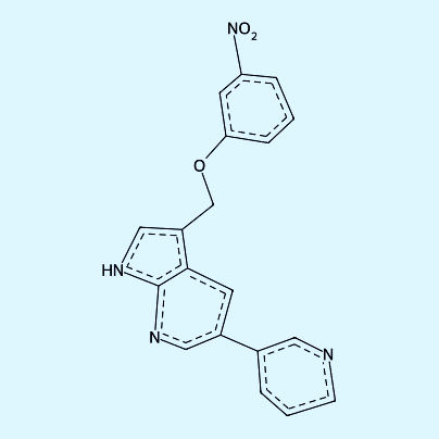 O=[N+]([O-])c1cccc(OCc2c[nH]c3ncc(-c4cccnc4)cc23)c1